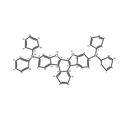 C1=CCC(N(c2ccccc2)c2ccc3c(c2)oc2c4oc5cc(N(c6ccccc6)c6ccccc6)ccc5c4c4ccccc4c32)C=C1